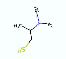 CCN(CC)C(C)CS